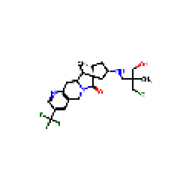 CC1C2Cc3ncc(C(F)(F)F)cc3CN2C(=O)[C@]12CC[C@@H](NCC(C)(CO)CCl)C2